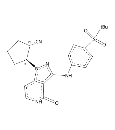 CC(C)(C)S(=O)(=O)c1ccc(Nc2nn([C@H]3CCC[C@@H]3C#N)c3cc[nH]c(=O)c23)cc1